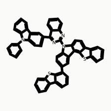 c1ccc(-n2c3ccccc3c3cc(-c4nc(-n5c6ccc(-c7cccc8c7sc7ccccc78)cc6c6c7sc8ccccc8c7ccc65)nc5ccccc45)ccc32)cc1